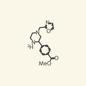 [2H]N1CCN(Cc2ncco2)CC1c1ccc(C(=O)OC)cc1